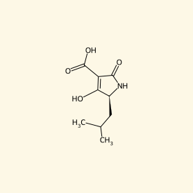 CC(C)C[C@@H]1NC(=O)C(C(=O)O)=C1O